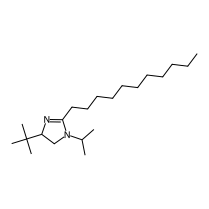 CCCCCCCCCCCC1=NC(C(C)(C)C)CN1C(C)C